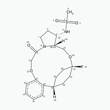 CS(=O)(=O)N[C@H]1CCN2C(=O)COc3ccccc3[C@H]3CC[C@](F)(CC3)OC[C@@H]12